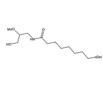 CCCCCCCCCCCCCCCCCC(=O)NCC(CO)OC